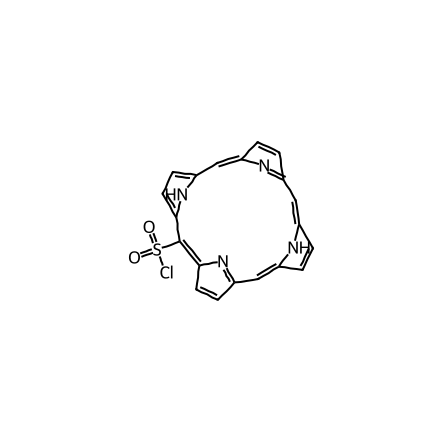 O=S(=O)(Cl)c1c2nc(cc3ccc(cc4nc(cc5ccc1[nH]5)C=C4)[nH]3)C=C2